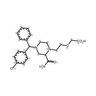 NC(=O)C1CN(C(c2ccccc2)c2ccc(Cl)cc2)CCN1CCOCC(=O)O